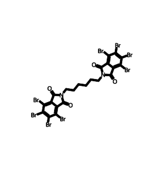 O=C1c2c(Br)c(Br)c(Br)c(Br)c2C(=O)N1CCCCCCN1C(=O)c2c(Br)c(Br)c(Br)c(Br)c2C1=O